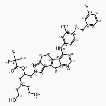 O=C(O[C@H](CN(CCO)CCO)Cn1cc2c(n1)CCc1c-2sc2ncnc(Nc3ccc(OCc4cccc(F)c4)c(Cl)c3)c12)C(F)(F)F